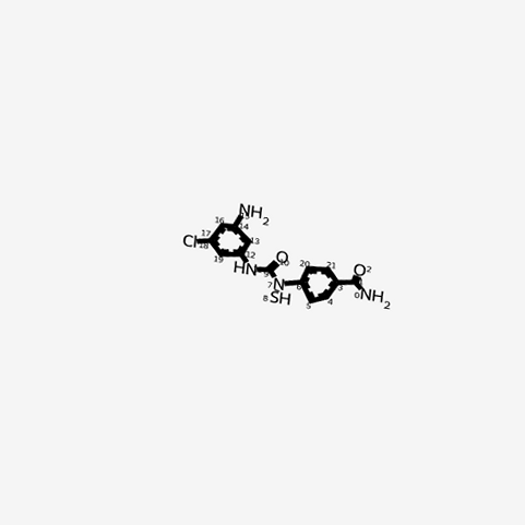 NC(=O)c1ccc(N(S)C(=O)Nc2cc(N)cc(Cl)c2)cc1